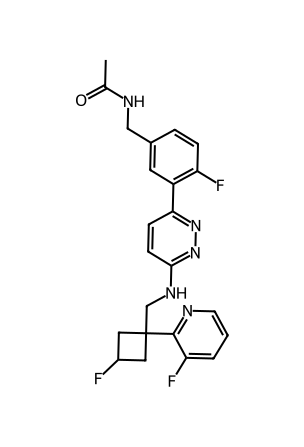 CC(=O)NCc1ccc(F)c(-c2ccc(NCC3(c4ncccc4F)CC(F)C3)nn2)c1